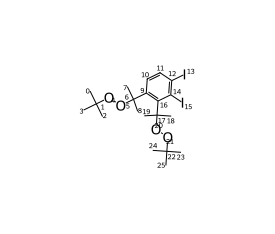 CC(C)(C)OOC(C)(C)c1ccc(I)c(I)c1C(C)(C)OOC(C)(C)C